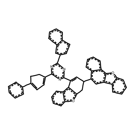 C1=C(c2ccccc2)CCC(c2nc(C3=CC(c4cc5c6ccccc6oc5c5ccccc45)Cc4oc5ccccc5c43)nc(-c3ccc4ccccc4c3)n2)=C1